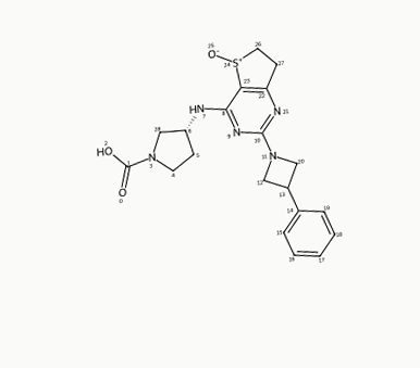 O=C(O)N1CC[C@@H](Nc2nc(N3CC(c4ccccc4)C3)nc3c2[S+]([O-])CC3)C1